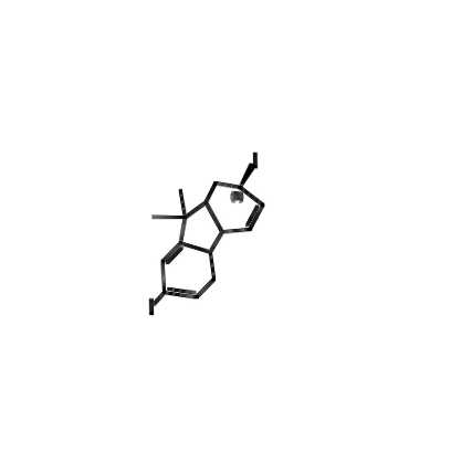 CC1(C)C2=CC(I)=CCC2C2C=C[C@H](I)CC21